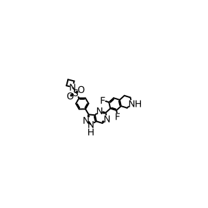 O=S(=O)(c1ccc(-c2n[nH]c3cnc(-c4c(F)cc5c(c4F)CNCC5)nc23)cc1)N1CCC1